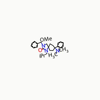 COC(c1ccccc1)N1CC2(CCC(c3ccccc3)(N(C)C)CC2)N(CC(C)C)C1=O